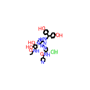 CCC(=O)N[C@H]1C[C@@H](n2cnc3c(NCC(c4ccc(O)cc4)c4ccc(O)cc4)nc(N4CC[C@@H](NC(=O)c5ccncc5)C4)nc32)[C@H](O)[C@@H]1O.Cl